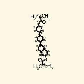 C=C(C)C(=O)Oc1ccc(-c2ccc(-c3ccc4cc(OC(=O)C(=C)C)ccc4c3)cc2)cc1